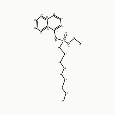 CCCCCCCCCP(=O)(OCC)Oc1cccc2ccccc12